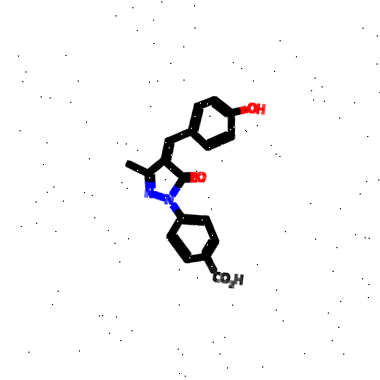 CC1=NN(c2ccc(C(=O)O)cc2)C(=O)C1=Cc1ccc(O)cc1